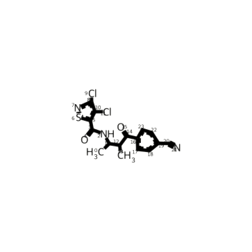 CC(NC(=O)c1snc(Cl)c1Cl)C(C)C(=O)c1ccc(C#N)cc1